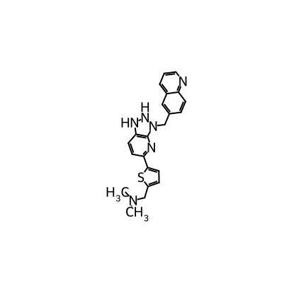 CN(C)Cc1ccc(-c2ccc3c(n2)N(Cc2ccc4ncccc4c2)NN3)s1